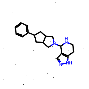 [c]1n[nH]c2c1C(N1CC3CC(c4ccccc4)CC3C1)NCC2